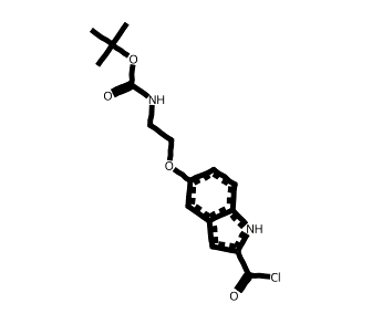 CC(C)(C)OC(=O)NCCOc1ccc2[nH]c(C(=O)Cl)cc2c1